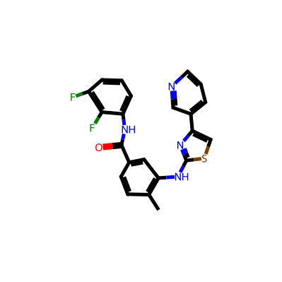 Cc1ccc(C(=O)Nc2cccc(F)c2F)cc1Nc1nc(-c2cccnc2)cs1